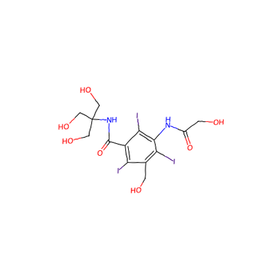 O=C(CO)Nc1c(I)c(CO)c(I)c(C(=O)NC(CO)(CO)CO)c1I